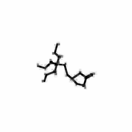 CCO[Si](CCC1COC(=O)C1)(OCC)OCC